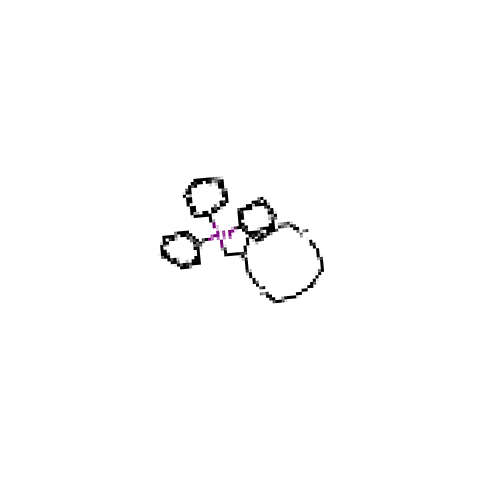 c1ccc([PH](CC2CCCCCCCCCCC2)(c2ccccc2)c2ccccc2)cc1